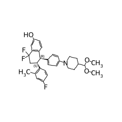 COC(OC)C1CCN(c2ccc([C@@H]3c4ccc(O)cc4C(F)(F)C[C@@H]3c3ccc(F)cc3C)cc2)CC1